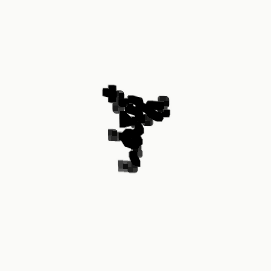 Cn1ccc(C2CCN(C(=O)OC(C)(C)C)CC2C(=O)N(Cc2cc(Br)cc(SCCO)c2)C2CC2)cc1=O